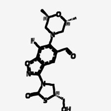 C[C@@H]1CN(c2c(C=O)cc3c(N4C[C@H](CO)SC4=O)noc3c2F)C[C@@H](C)O1